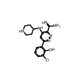 N=C(N)c1nnc(-c2cccc(Cl)c2O)cc1NC1CCNCC1